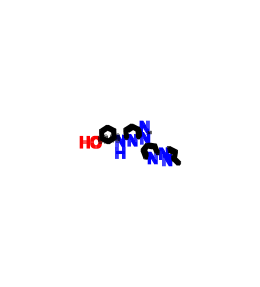 Cc1ccn(-c2cc(-n3cnc4ccc(N[C@H]5CCC[C@H](O)C5)nc43)ccn2)n1